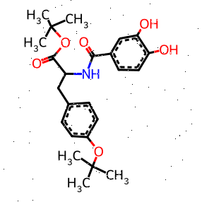 CC(C)(C)OC(=O)C(Cc1ccc(OC(C)(C)C)cc1)NC(=O)c1ccc(O)c(O)c1